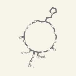 C=C=C=C=C1C(CCCCC)CCOC(=O)CCCCCCCC(CCN2CCCC2)CCCCCCCC(=O)OCCC1CCCCC